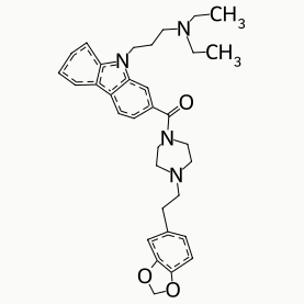 CCN(CC)CCCn1c2ccccc2c2ccc(C(=O)N3CCN(CCc4ccc5c(c4)OCO5)CC3)cc21